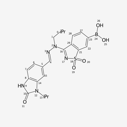 CC(C)CN(/N=C/c1ccc2[nH]c(=O)n(C(C)C)c2c1)C1=NS(=O)(=O)c2cc(B(O)O)ccc21